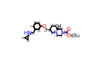 CC(C)(C)OC(=O)N1CCN2C[C@@H](COc3cccc(CNC4CC4)c3)CC[C@H]2C1